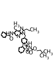 CCCc1nc2c(C)c(NC(=O)c3ccccc3)cnc2n1Cc1ccc(-c2ccccc2S(=O)(=O)NC(=O)OCCC(C)C)cc1